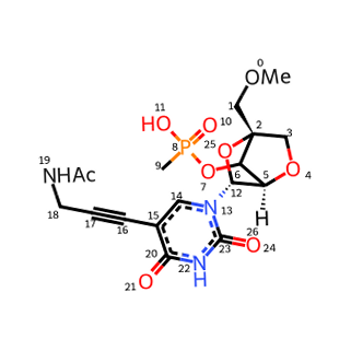 COC[C@@]12CO[C@H](C1OP(C)(=O)O)[C@H](n1cc(C#CCNC(C)=O)c(=O)[nH]c1=O)O2